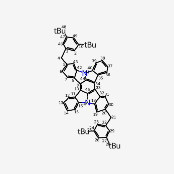 CC(C)(C)c1cc(Cc2ccc3c4c5c6ccccc6n6c7cc(Cc8cc(C(C)(C)C)cc(C(C)(C)C)c8)ccc7c(c7c8ccccc8n(c3c2)c74)c56)cc(C(C)(C)C)c1